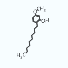 CCCCCCCCCCc1ccc(OC)cc1O